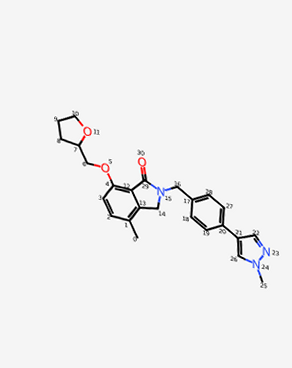 Cc1ccc(OCC2CCCO2)c2c1CN(Cc1ccc(-c3cnn(C)c3)cc1)C2=O